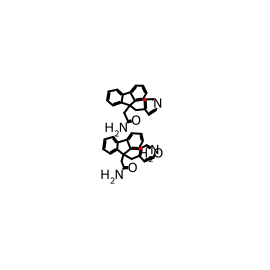 NC(=O)CC1(Cc2ccncc2)c2ccccc2-c2ccccc21.NC(=O)CC1(Cc2ccncc2)c2ccccc2-c2ccccc21.O